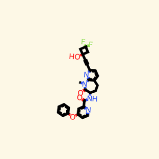 CN1C(=O)C(NC(=O)c2cc(Oc3ccccc3)ccn2)CCc2ccc(C#CC3(O)CC(F)(F)C3)nc21